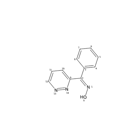 ON=C(c1ccccc1)c1cccnn1